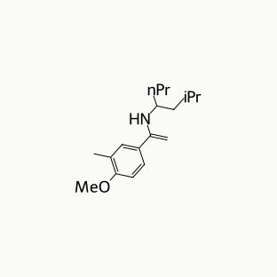 C=C(NC(CCC)CC(C)C)c1ccc(OC)c(C)c1